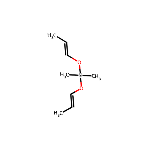 CC=CO[Si](C)(C)OC=CC